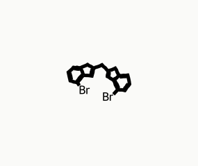 Brc1cccc2c1C=C(CC1=Cc3c(Br)cccc3C1)C2